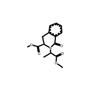 COC(=O)C(C)N1C(=O)c2ccccc2CC1C(=O)OC